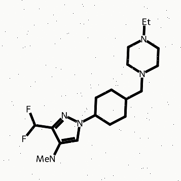 CCN1CCN(CC2CCC(n3cc(NC)c(C(F)F)n3)CC2)CC1